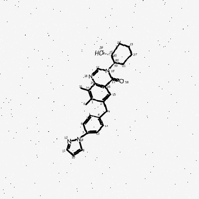 Cc1c(Cc2ccc(-n3cccn3)cc2)cc2c(=O)n([C@@H]3CCCC[C@H]3O)cnc2c1C